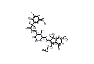 C=C(/C=C/C1=C(Cl)C(=C/C=C2/N(CCOC)c3c(C)cc(OC)cc3C2(C)C)/CCC1)C(C)(C)c1cc(OC)cc(C)c1C